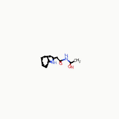 CC(O)NC(=O)[CH]c1cc2ccccc2[nH]1